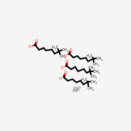 CC(C)(C)CCCCCC(=O)[O-].CC(C)(C)CCCCCC(=O)[O-].CC(C)(C)CCCCCC(=O)[O-].CC(C)(C)CCCCCC(=O)[O-].[Co+2].[Co+2]